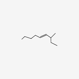 CCCCC=CC(C)CC